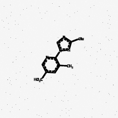 Cc1cc(C(=O)O)cnc1-n1cnc(C(C)(C)C)n1